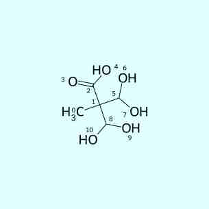 CC(C(=O)O)(C(O)O)C(O)O